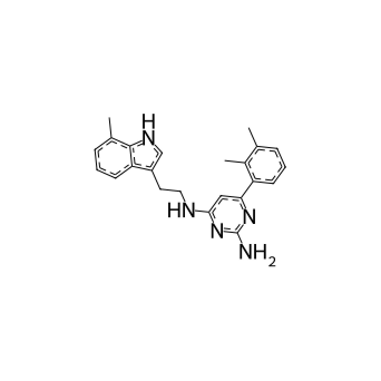 Cc1cccc(-c2cc(NCCc3c[nH]c4c(C)cccc34)nc(N)n2)c1C